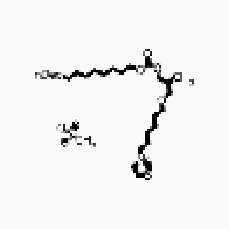 C=C(COCCCCCC[n+]1ccsc1)COC(=O)OCCCCCCCCCCCCCCCCCC.CS(=O)(=O)[O-]